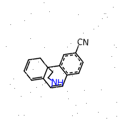 N#Cc1ccc2c(c1)C13CC=CC=C1C(=C2)NCC3